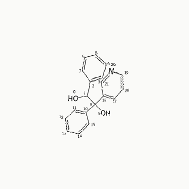 OC(c1ccccc1)C(O)(c1ccccc1)c1cccnc1